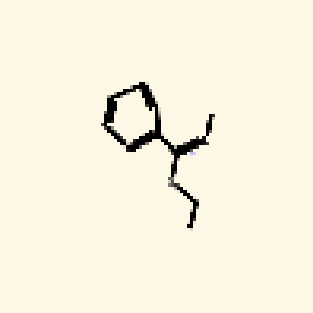 CCS/C(=N/C)c1c[c]ccc1